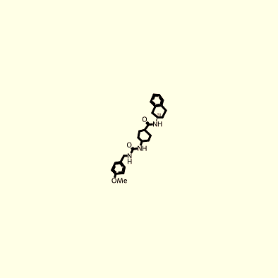 COc1ccc(CNC(=O)NC2CCC(C(=O)N[C@H]3CCc4ccccc4C3)CC2)cc1